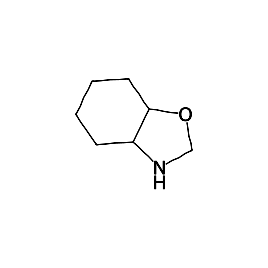 C1CCC2OCNC2C1